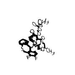 COC(=O)OCOc1c2n(ccc1=O)N([C@@H]1c3ccccc3SCc3c1ccc(F)c3F)C1CO[C@@H](C)CN1C2=O